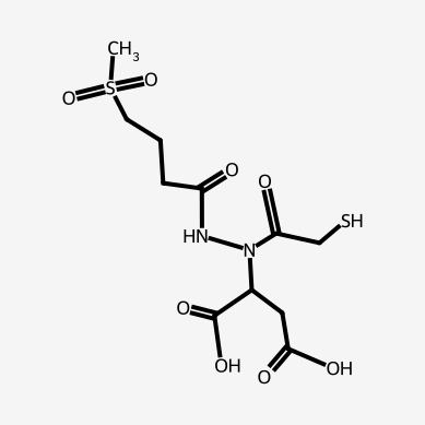 CS(=O)(=O)CCCC(=O)NN(C(=O)CS)C(CC(=O)O)C(=O)O